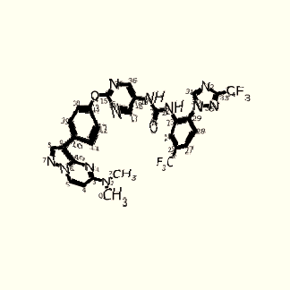 CN(C)c1ccn2ncc(-c3ccc(Oc4ncc(NC(=O)Nc5cc(C(F)(F)F)ccc5-n5cnc(C(F)(F)F)n5)cn4)cc3)c2n1